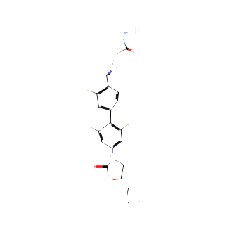 CC(=O)NC[C@H]1CN(c2cc(F)c(-c3ccc(/C=N/OC(=O)NC(C)(C)C)c(F)c3)c(F)c2)C(=O)O1